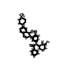 CN1CCN(c2ccc3c(c2)C(C=O)N(c2cc(N(C(=O)c4ccccc4)C4COCC(F)N4)ccc2F)C=N3)CC1